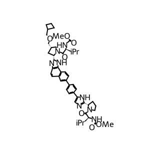 COC(=O)N[C@H](C(=O)N1CCC[C@H]1c1ncc(-c2ccc(-c3ccc4c(ccc5nc([C@@H]6C[C@H](COCC7CCC7)CN6C(=O)[C@@H](NC(=O)OC)C(C)C)[nH]c54)c3)cc2)[nH]1)C(C)C